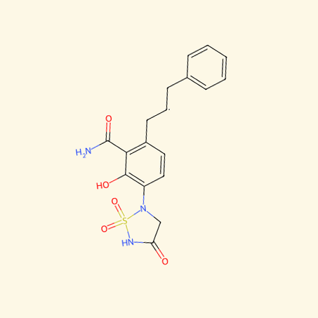 NC(=O)c1c(C[CH]Cc2ccccc2)ccc(N2CC(=O)NS2(=O)=O)c1O